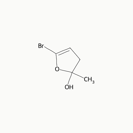 CC1(O)CC=C(Br)O1